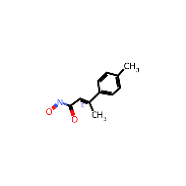 C/C(=C\C(=O)N=O)c1ccc(C)cc1